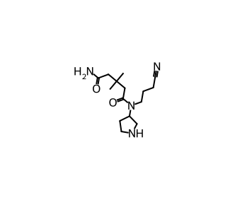 CC(C)(CC(N)=O)CC(=O)N(CCCC#N)C1CCNC1